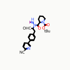 CC(C)(C)OC(=O)N1CCCCC1C(=O)N(NI)C(C=O)Cc1ccc(-c2ccc(C#N)nc2)cc1